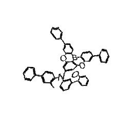 Cc1cc(-c2ccccc2)ccc1N(c1cc2c3c(c1)Oc1cc(-c4ccccc4)ccc1B3c1ccc(-c3ccccc3)cc1O2)c1cccc2c1oc1ccccc12